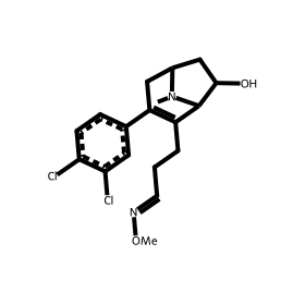 CON=CCCC1=C(c2ccc(Cl)c(Cl)c2)CC2CC(O)C1N2C